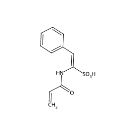 C=CC(=O)NC(=Cc1ccccc1)S(=O)(=O)O